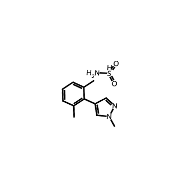 Cc1cccc(C)c1-c1cnn(C)c1.N[SH](=O)=O